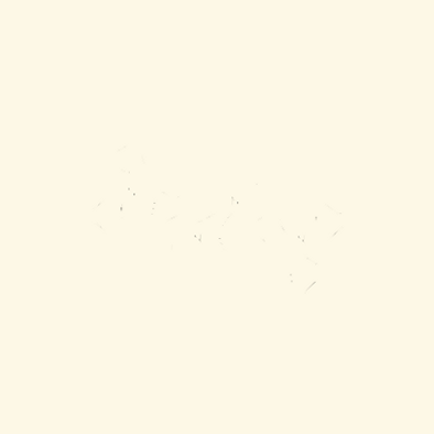 CCCN1CC2=C(c3ccc(N(c4ccc(C)cc4)c4ccc(C)cc4)cc3)N(CCC)C(=O)C2=C1c1ccc(N(c2ccc(C)cc2)c2ccc(C)cc2)cc1